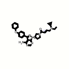 CCN(C/C=C/C(=O)N1CC[C@@H](n2nc(-c3ccc(Oc4ccccc4)cc3)c3c(N)ncnc32)C1)C1CC1